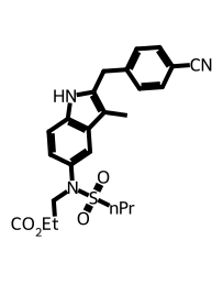 CCCS(=O)(=O)N(CC(=O)OCC)c1ccc2[nH]c(Cc3ccc(C#N)cc3)c(C)c2c1